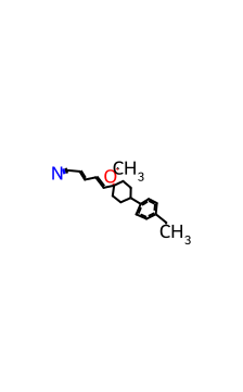 CCc1ccc(C2CCC(C=CC=CC#N)(OC)CC2)cc1